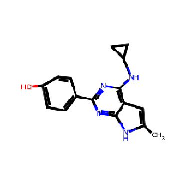 Cc1cc2c(NC3CC3)nc(-c3ccc(O)cc3)nc2[nH]1